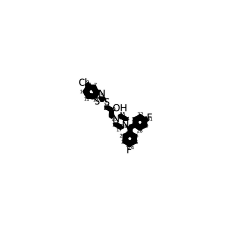 OC(CSc1nc2cc(Cl)ccc2s1)CN1CCN(C(c2ccc(F)cc2)c2ccc(F)cc2)CC1